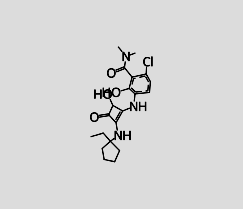 CCC1(NC2=C(Nc3ccc(Cl)c(C(=O)N(C)C)c3O)C(O)C2=O)CCCC1